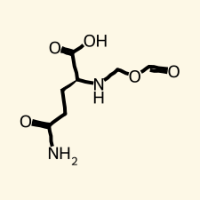 NC(=O)CC[C@H](NCOC=O)C(=O)O